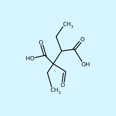 CCC(C(=O)O)C(C=O)(CC)C(=O)O